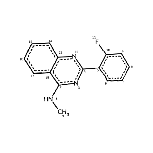 CNc1nc(-c2ccccc2F)nc2ccccc12